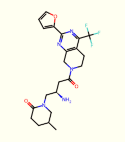 CC1CCC(=O)N(C[C@H](N)CC(=O)N2CCc3c(nc(-c4ccco4)nc3C(F)(F)F)C2)C1